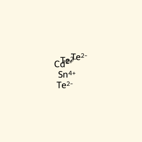 [Cd+2].[Sn+4].[Te-2].[Te-2].[Te-2]